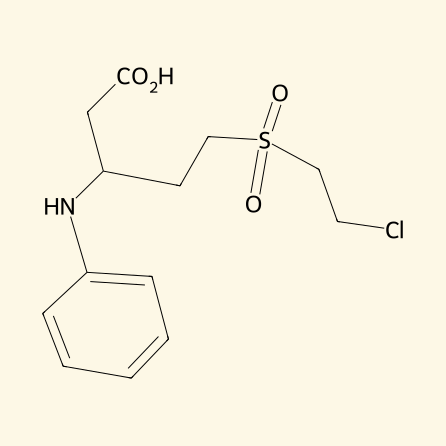 O=C(O)CC(CCS(=O)(=O)CCCl)Nc1ccccc1